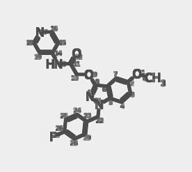 COc1ccc2c(c1)c(OCC(=O)Nc1ccncc1)nn2Cc1ccc(F)cc1